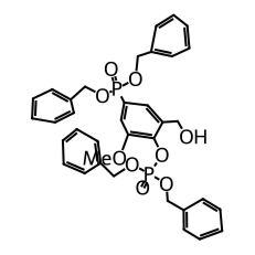 COc1cc(P(=O)(OCc2ccccc2)OCc2ccccc2)cc(CO)c1OP(=O)(OCc1ccccc1)OCc1ccccc1